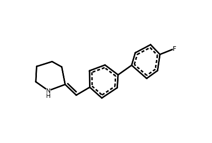 Fc1ccc(-c2ccc(C=C3CCCCN3)cc2)cc1